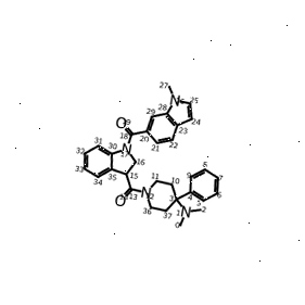 CN(C)C1(c2ccccc2)CCN(C(=O)C2CN(C(=O)c3ccc4ccn(C)c4c3)c3ccccc32)CC1